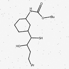 CC(C)CCC(O)C(S)C1CCCC(NC(=O)OC(C)(C)C)C1